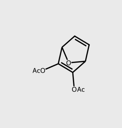 CC(=O)OC1=C(OC(C)=O)C2C=CC1O2